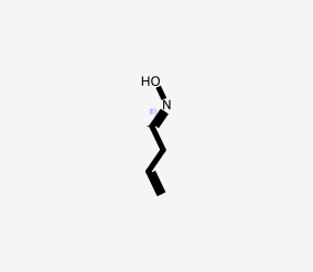 C=CC/[C]=N/O